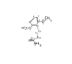 COc1cccc(OC)c1CCSC(=N)N